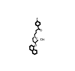 Cl.O=C(CCCN1CCC(Oc2cccc3ccccc23)CC1)c1ccc(F)cc1